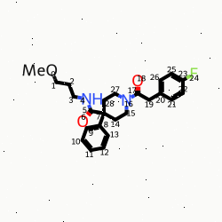 COCCCNC(=O)C1(c2ccccc2)CCN(C(=O)Cc2ccc(F)cc2)CC1